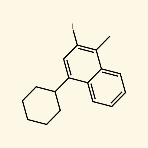 Cc1c(I)cc(C2CCCCC2)c2ccccc12